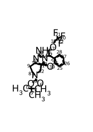 CC(C)(C)OC(=O)N1CCc2nc(N)n(C(COCC(F)(F)F)c3ccccc3)c(=O)c2C1